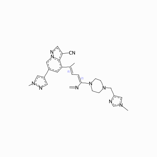 C=N/C(=C\C=C(/C)c1cc(-c2cnn(C)c2)cn2ncc(C#N)c12)N1CCN(Cc2cn(C)cn2)CC1